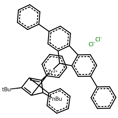 CCCCC1[C]([Zr+2][CH]2c3cc(-c4ccccc4)ccc3-c3ccc(-c4ccccc4)cc32)=C2C(C(C)(C)C)=C1C2(c1ccccc1)c1ccccc1.[Cl-].[Cl-]